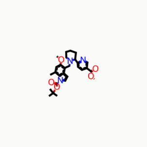 COC(=O)c1ccc(C2CCCCN2Cc2c(OC)cc(C)c3c2ccn3C(=O)OC(C)(C)C)nc1